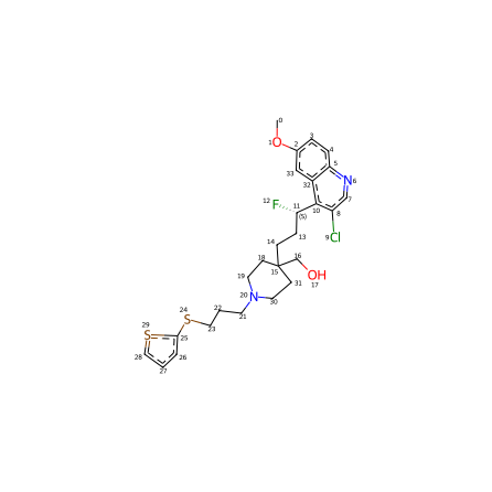 COc1ccc2ncc(Cl)c([C@@H](F)CCC3(CO)CCN(CCCSc4cccs4)CC3)c2c1